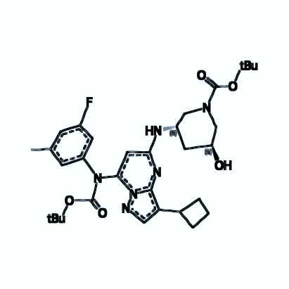 Cc1cc(F)cc(N(C(=O)OC(C)(C)C)c2cc(N[C@H]3C[C@H](O)CN(C(=O)OC(C)(C)C)C3)nc3c(C4CCC4)cnn23)c1